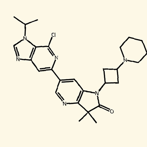 CC(C)n1cnc2cc(-c3cnc4c(c3)N(C3CC(N5CCCCC5)C3)C(=O)C4(C)C)nc(Cl)c21